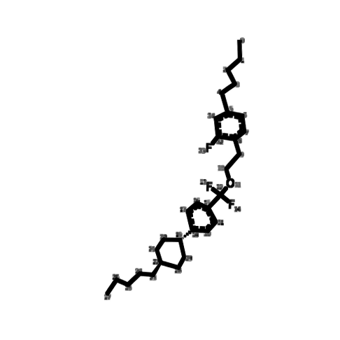 CCCCCc1ccc(CCOC(F)(F)c2ccc([C@H]3CC[C@H](CCCCC)CC3)cc2)c(F)c1